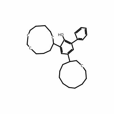 Oc1c(-c2ccccc2)cc(C2CCCCCCCCCCC2)cc1C1CCCCCCCCCCC1